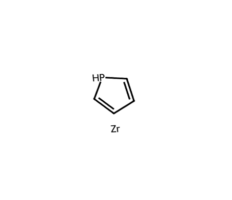 [Zr].c1cc[pH]c1